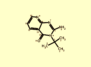 CC(C)(C)n1c(N)nc2ncccc2c1=O